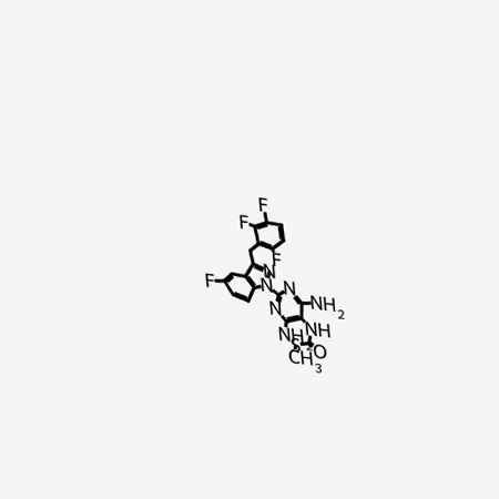 CSC(=O)Nc1c(N)nc(-n2nc(Cc3c(F)ccc(F)c3F)c3cc(F)ccc32)nc1N